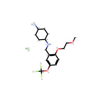 COCCOc1ccc(OC(F)(F)F)cc1CNC1CCC(N)CC1.Cl